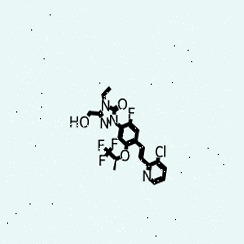 CCn1c(CO)nn(-c2cc(O[C@@H](C)C(F)(F)F)c(/C=C/c3ncccc3Cl)cc2F)c1=O